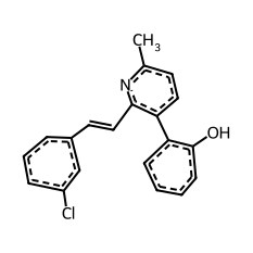 Cc1ccc(-c2ccccc2O)c(C=Cc2cccc(Cl)c2)n1